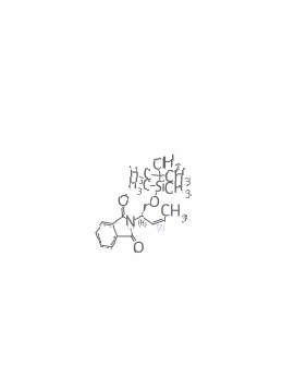 C/C=C\[C@H](CO[Si](C)(C)C(C)(C)C)N1C(=O)c2ccccc2C1=O